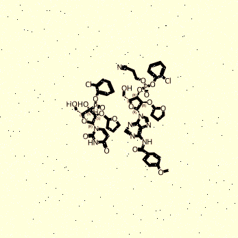 COc1ccc(C(=O)Nc2ncnc3c2ncn3[C@@H]2O[C@H](CO)[C@@H](OP(=O)(OCCC#N)Oc3ccccc3Cl)[C@H]2OC2CCCO2)cc1.O=c1ccn([C@@H]2O[C@H](CO)[C@](O)([PH](=O)Oc3ccccc3Cl)[C@H]2OC2CCCO2)c(=O)[nH]1